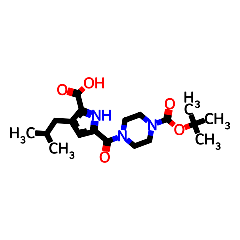 CC(C)Cc1cc(C(=O)N2CCN(C(=O)OC(C)(C)C)CC2)[nH]c1C(=O)O